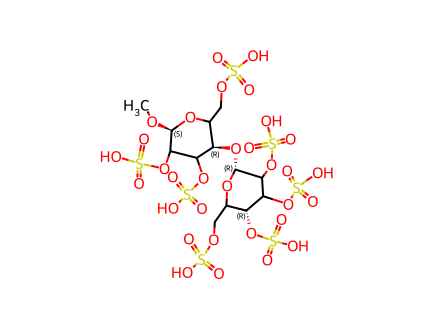 CO[C@H]1OC(COS(=O)(=O)O)[C@@H](O[C@H]2OC(COS(=O)(=O)O)[C@@H](OS(=O)(=O)O)C(OS(=O)(=O)O)C2OS(=O)(=O)O)C(OS(=O)(=O)O)C1OS(=O)(=O)O